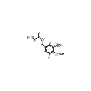 COc1c(C)cc(COC(C)CO)cc1C(C)(C)C